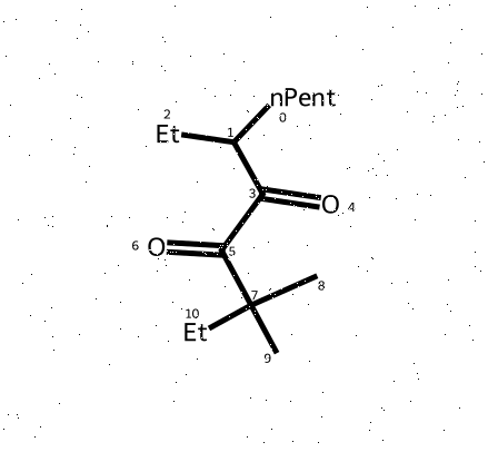 CCCCCC(CC)C(=O)C(=O)C(C)(C)CC